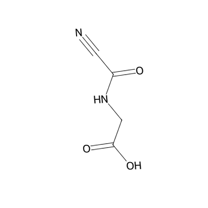 N#CC(=O)NCC(=O)O